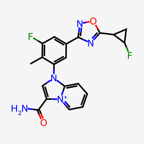 Cc1c(F)cc(-c2noc(C3CC3F)n2)cc1-n1cc(C(N)=O)[n+]2ccccc12